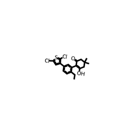 CCc1ccc(-c2cc(Cl)sc2Cl)cc1C1=C(O)CC(C)(C)CC1=O